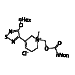 CCCCCCCCCC(=O)OC[N+]1(C)CCC=C(c2nsnc2OCCCCCC)C1.[Cl-]